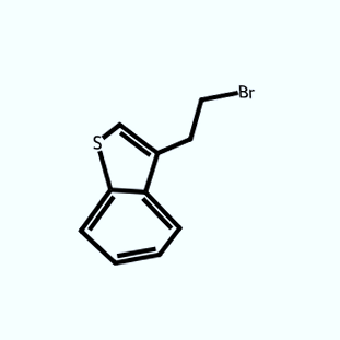 BrCCc1csc2ccccc12